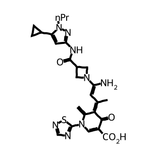 C=c1/c(=C(C)\C=C(/N)N2CC(C(=O)Nc3cc(C4CC4)n(CCC)n3)C2)c(=O)c(C(=O)O)cn1-c1ncns1